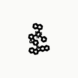 c1ccc(-c2nc(-c3cccc4ccccc34)nc(-c3cccc4oc5cc(-n6c7cc8ccccc8cc7c7ccc8ccccc8c76)ccc5c34)n2)cc1